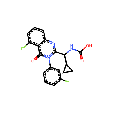 O=C(O)NC(c1nc2cccc(F)c2c(=O)n1-c1cccc(F)c1)C1CC1